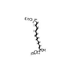 CCCCCCCCC(O)/C=C/C=C/C=C/C=C/C=C/C=C/C(=O)OCC